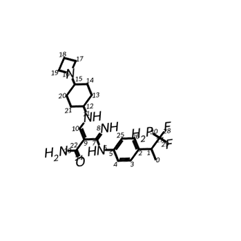 CC(c1ccc(NC(=N)/C(=C\NC2CCC(N3CCC3)CC2)C(N)=O)cc1)C(F)(F)P